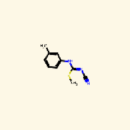 CS/C(=N\C#N)Nc1cccc(C)c1